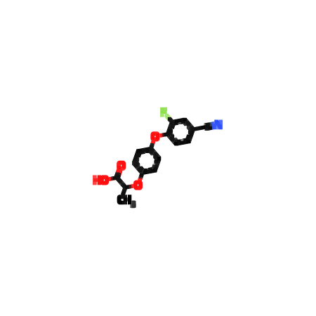 CC(Oc1ccc(Oc2ccc(C#N)cc2F)cc1)C(=O)O